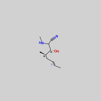 C/C=C/C[C@@H](C)[C@@H](O)C(C#N)NC